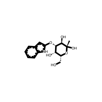 C[C@@]1(O)O[C@H](CO)[C@H](O)[C@H](Oc2cc3ccccc3[nH]2)[C@H]1O